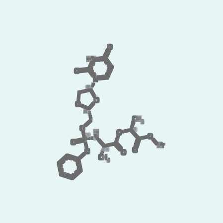 CC(C)OC(=O)[C@H](C)OC(=O)[C@H](C)N[P@](=O)(OC[C@@H]1OC[C@H](n2ccc(=O)[nH]c2=O)O1)Oc1ccccc1